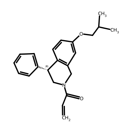 C=CC(=O)N1Cc2cc(OCC(C)C)ccc2[C@@H](c2ccccc2)C1